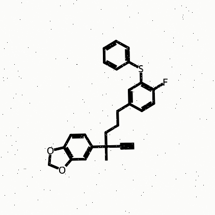 C#CC(C)(CCCc1ccc(F)c(Sc2ccccc2)c1)c1ccc2c(c1)OCO2